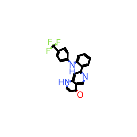 O=c1cc[nH]c2cc(-c3ccccc3Nc3ccc(C(F)(F)F)cc3)ncc12